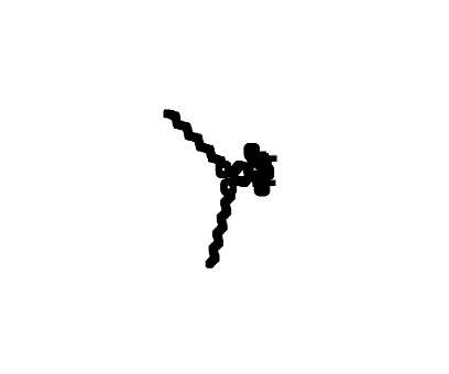 CCCCCCCCCCOc1cc([N+](=O)[O-])c([N+](=O)[O-])cc1OCCCCCCCCCC